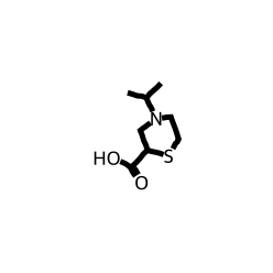 CC(C)N1CCSC(C(=O)O)C1